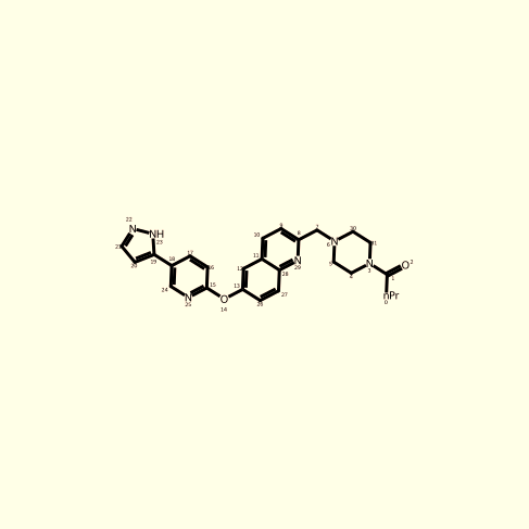 CCCC(=O)N1CCN(Cc2ccc3cc(Oc4ccc(-c5ccn[nH]5)cn4)ccc3n2)CC1